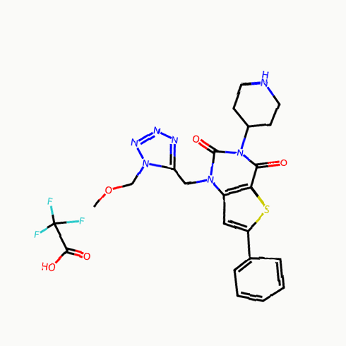 COCn1nnnc1Cn1c(=O)n(C2CCNCC2)c(=O)c2sc(-c3ccccc3)cc21.O=C(O)C(F)(F)F